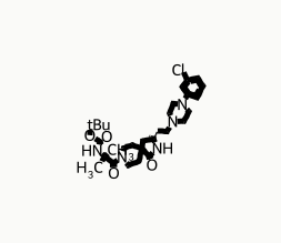 CC(C)(C)OC(=O)NC(C)(C)C(=O)N1CCC2(CC1)C[C@H](CCN1CCN(c3cccc(Cl)c3)CC1)NC2=O